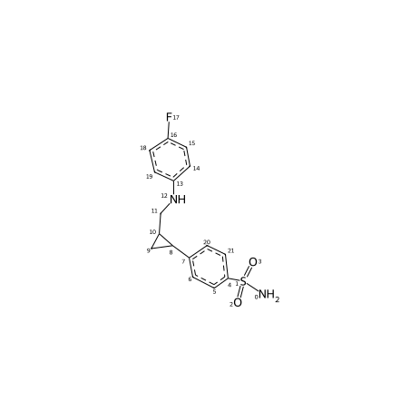 NS(=O)(=O)c1ccc(C2CC2CNc2ccc(F)cc2)cc1